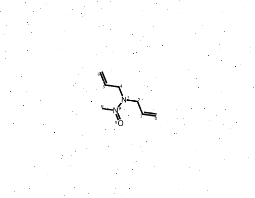 C=CCN(CC=C)[N+](C)=O